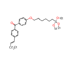 CCOC(=O)C=Cc1ccc(C(=O)c2ccc(OCCCCCC[Si](OCC)(OCC)OCC)cc2)cc1